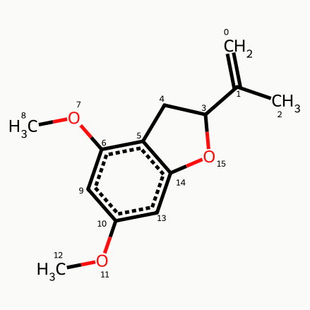 C=C(C)C1Cc2c(OC)cc(OC)cc2O1